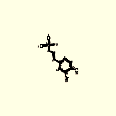 O=S(=O)(F)CC=Cc1ccc(Cl)c(Br)c1